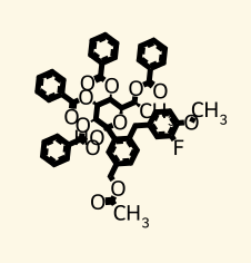 COc1ccc(Cc2ccc(COC(C)=O)cc2[C@@]2(O)O[C@H]([C@H](C)OC(=O)c3ccccc3)[C@@H](OC(=O)c3ccccc3)[C@H](OC(=O)c3ccccc3)[C@H]2OC(=O)c2ccccc2)cc1F